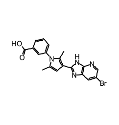 Cc1cc(-c2nc3cc(Br)cnc3[nH]2)c(C)n1-c1cccc(C(=O)O)c1